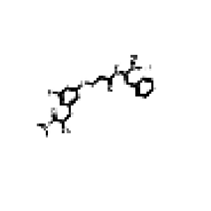 CN(C)C(=O)C(C#N)=Cc1cc(F)cc(OCCC(=O)NC(Cc2ccccc2)B(O)O)c1